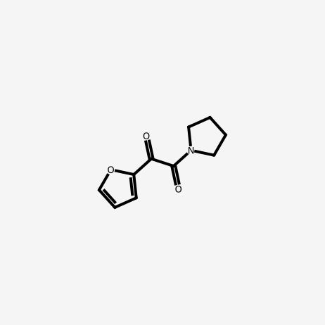 O=C(C(=O)N1CCCC1)c1ccco1